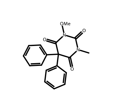 CON1C(=O)N(C)C(=O)C(c2ccccc2)(c2ccccc2)C1=O